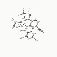 C[C@H](NC(=O)c1cnc(C#N)c(-c2cc(F)cc(F)c2)c1N1CC[C@](C)(NC(=O)O)C1)C(F)(F)F